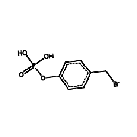 O=P(O)(O)Oc1ccc(CBr)cc1